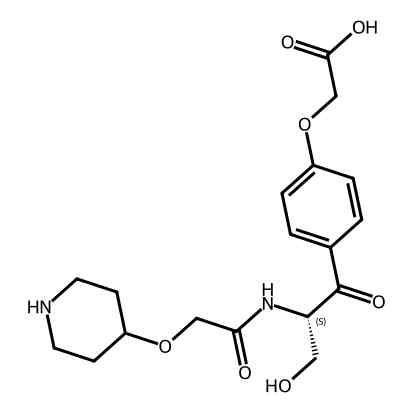 O=C(O)COc1ccc(C(=O)[C@H](CO)NC(=O)COC2CCNCC2)cc1